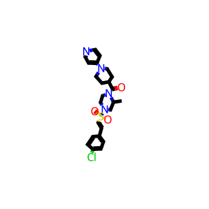 CC1CN(S(=O)(=O)C=Cc2ccc(Cl)cc2)CCN1C(=O)C1CCN(c2ccncc2)CC1